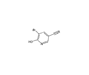 N#Cc1cnc(O)c(Br)c1